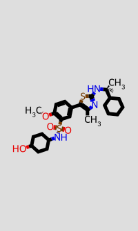 COc1ccc(-c2sc(N[C@H](C)C3CCCCC3)nc2C)cc1S(=O)(=O)NC1CCC(O)CC1